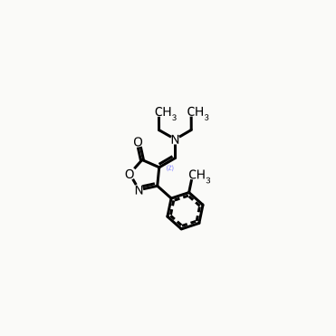 CCN(/C=C1\C(=O)ON=C1c1ccccc1C)CC